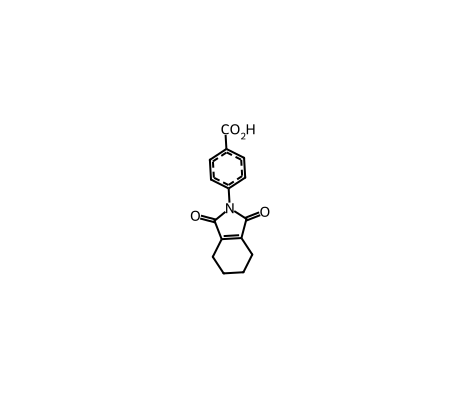 O=C(O)c1ccc(N2C(=O)C3=C(CCCC3)C2=O)cc1